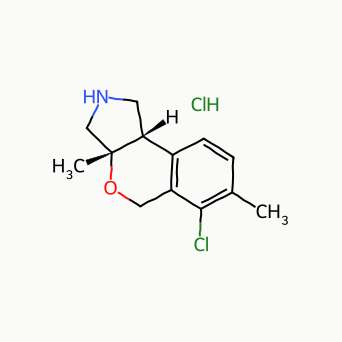 Cc1ccc2c(c1Cl)CO[C@]1(C)CNC[C@H]21.Cl